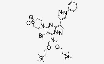 C[Si](C)(C)CCOCN(COCC[Si](C)(C)C)c1c(Br)c(N2CCS(=O)(=O)CC2)nc2c(-c3cnn(-c4ccccc4)c3)cnn12